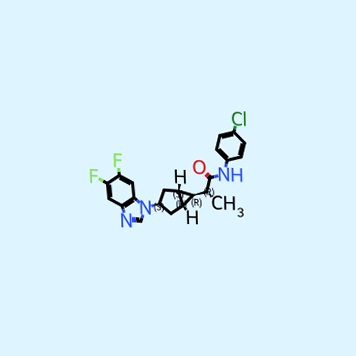 C[C@@H](C(=O)Nc1ccc(Cl)cc1)[C@H]1[C@@H]2C[C@@H](n3cnc4cc(F)c(F)cc43)C[C@@H]21